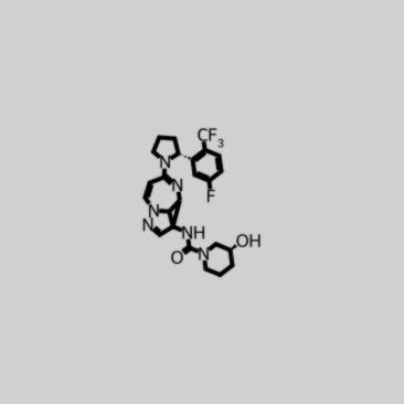 O=C(NC12C=NN3C=CC(N4CCC[C@@H]4c4cc(F)ccc4C(F)(F)F)=NC1C32)N1CCC[C@H](O)C1